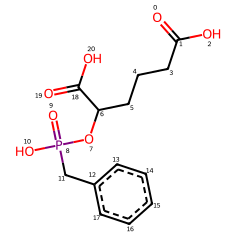 O=C(O)CCCC(OP(=O)(O)Cc1ccccc1)C(=O)O